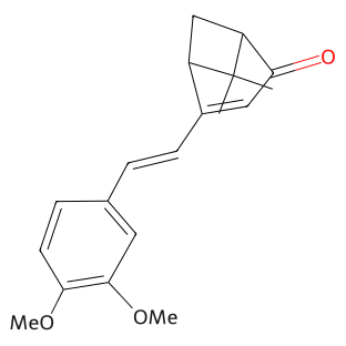 COc1ccc(C=CC2=CC(=O)C3CC2C3(C)C)cc1OC